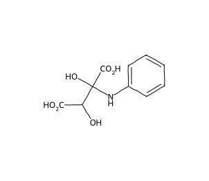 O=C(O)C(O)C(O)(Nc1ccccc1)C(=O)O